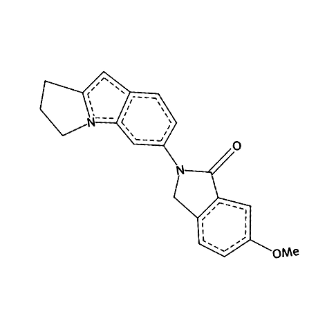 COc1ccc2c(c1)C(=O)N(c1ccc3cc4n(c3c1)CCC4)C2